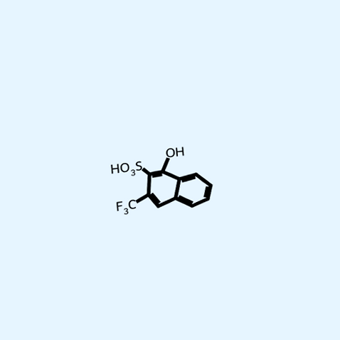 O=S(=O)(O)c1c(C(F)(F)F)cc2ccccc2c1O